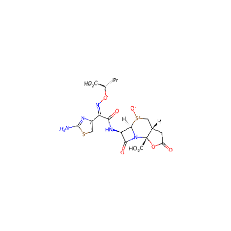 CC(C)[C@H](O/N=C(\C(=O)N[C@@H]1C(=O)N2[C@@H]1[S+]([O-])C[C@@H]1CC(=O)O[C@@]12C(=O)O)c1csc(N)n1)C(=O)O